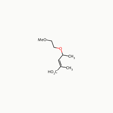 COCCOC(C)C=C(C)C(=O)O